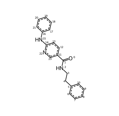 O=C(NCCc1ccccc1)c1ccc(Nc2ccccc2)nc1